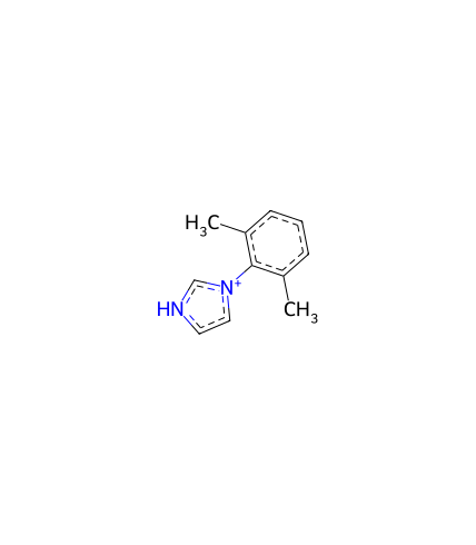 Cc1cccc(C)c1-[n+]1cc[nH]c1